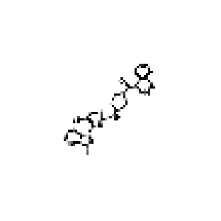 O=C(c1cnnc2ccccc12)N1CCC(Nc2ncc(Cl)c(-c3c[nH]c4ccccc34)n2)CC1